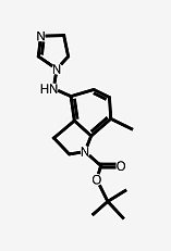 Cc1ccc(NN2C=NCC2)c2c1N(C(=O)OC(C)(C)C)CC2